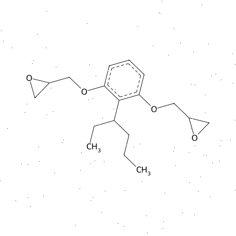 CCCC(CC)c1c(OCC2CO2)cccc1OCC1CO1